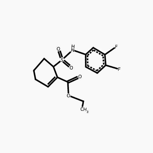 CCOC(=O)C1=CCCCC1S(=O)(=O)Nc1ccc(F)c(F)c1